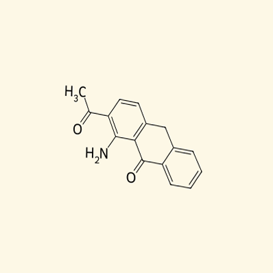 CC(=O)c1ccc2c(c1N)C(=O)c1ccccc1C2